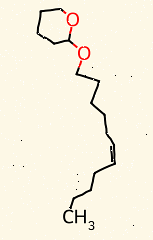 CCCC/C=C\CCCCCOC1CCCCO1